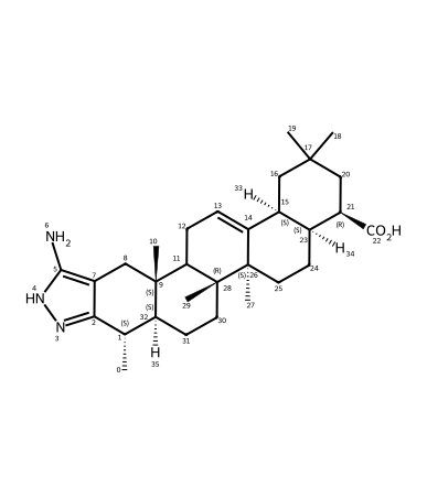 C[C@@H]1c2n[nH]c(N)c2C[C@]2(C)C3CC=C4[C@H]5CC(C)(C)C[C@@H](C(=O)O)[C@H]5CC[C@@]4(C)[C@]3(C)CC[C@@H]12